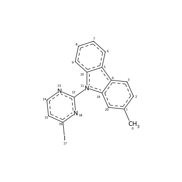 Cc1ccc2c3ccccc3n(-c3nccc(I)n3)c2c1